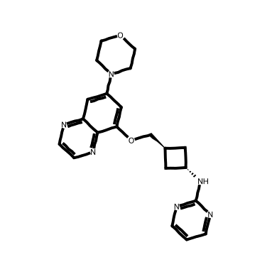 c1cnc(N[C@H]2C[C@H](COc3cc(N4CCOCC4)cc4nccnc34)C2)nc1